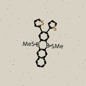 CSB1c2cc(-c3cccs3)c(-c3cccs3)cc2B(SC)c2cc3ccccc3cc21